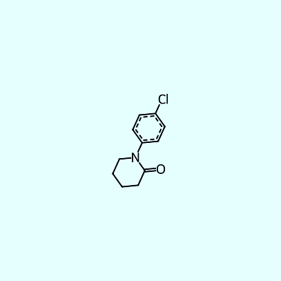 O=C1CCCCN1c1ccc(Cl)cc1